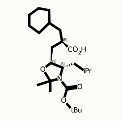 CC(C)C[C@H]1[C@H](C[C@@H](CC2CCCCC2)C(=O)O)OC(C)(C)N1C(=O)OC(C)(C)C